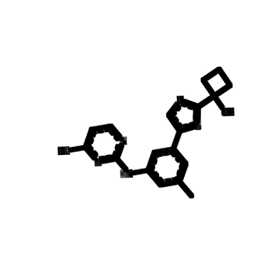 Cc1cc(Nc2nccc(C#N)n2)cc(-c2cnc(C3(O)CCC3)s2)c1